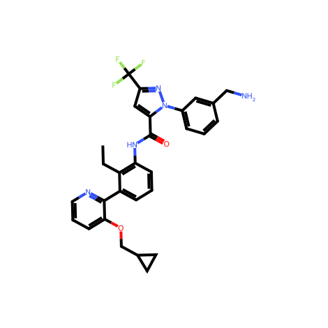 CCc1c(NC(=O)c2cc(C(F)(F)F)nn2-c2cccc(CN)c2)cccc1-c1ncccc1OCC1CC1